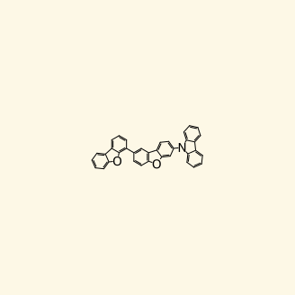 c1ccc2c(c1)oc1c(-c3ccc4oc5cc(-n6c7ccccc7c7ccccc76)ccc5c4c3)cccc12